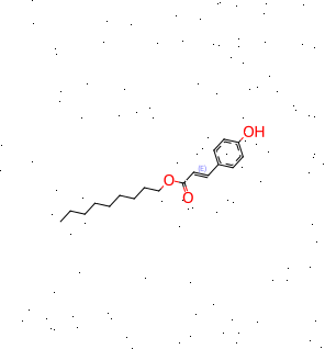 CCCCCCCCCOC(=O)/C=C/c1ccc(O)cc1